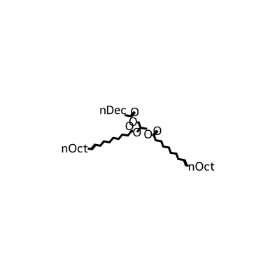 CCCCCCCC/C=C/CCCCCCCC(=O)OCC(COC(=O)CCCCCCCCCCC)OC(=O)CCCCCCC/C=C/CCCCCCCC